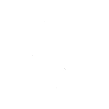 Cc1cc(C(F)(F)F)c2c(n1)-c1ccccc1C2c1cccs1